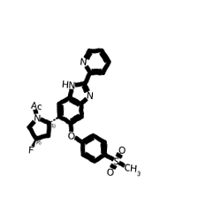 CC(=O)N1C[C@H](F)C[C@H]1c1cc2[nH]c(-c3ccccn3)nc2cc1Oc1ccc(S(C)(=O)=O)cc1